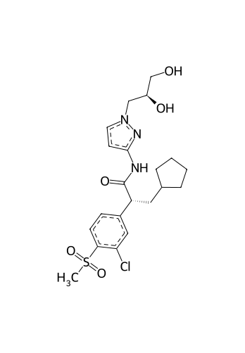 CS(=O)(=O)c1ccc([C@@H](CC2CCCC2)C(=O)Nc2ccn(C[C@H](O)CO)n2)cc1Cl